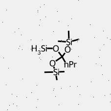 CCCC(O[SiH3])(O[Si](C)(C)C)O[Si](C)(C)C